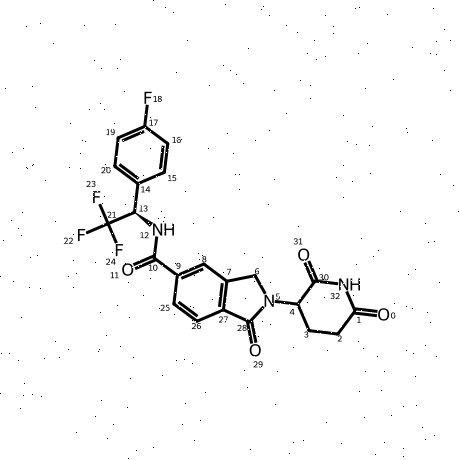 O=C1CCC(N2Cc3cc(C(=O)N[C@H](c4ccc(F)cc4)C(F)(F)F)ccc3C2=O)C(=O)N1